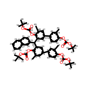 Cc1cc(-c2cc(C)c(OC(=O)OC(C)(C)C)c(C(c3ccc4ccccc4c3)c3cc(-c4ccc(OC(=O)OC(C)(C)C)c(C)c4)cc(C)c3OC(=O)OC(C)(C)C)c2)ccc1OC(=O)OC(C)(C)C